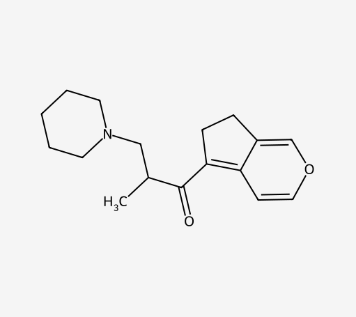 CC(CN1CCCCC1)C(=O)C1=C2C=COC=C2CC1